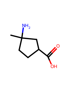 CC1(N)CCC(C(=O)O)C1